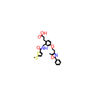 CSc1ccc(C(=O)NCc2cc(OCCc3nc(-c4ccccc4)oc3C)ccc2CCC(=O)O)s1